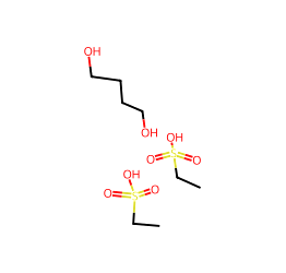 CCS(=O)(=O)O.CCS(=O)(=O)O.OCCCCO